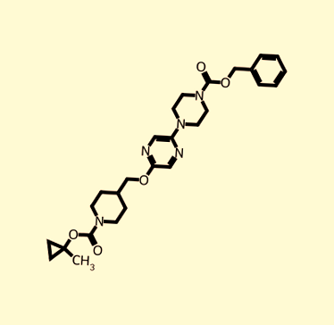 CC1(OC(=O)N2CCC(COc3cnc(N4CCN(C(=O)OCc5ccccc5)CC4)cn3)CC2)CC1